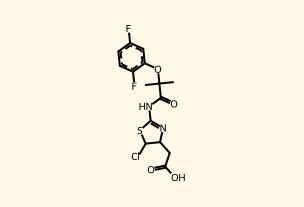 CC(C)(Oc1cc(F)ccc1F)C(=O)NC1=NC(CC(=O)O)C(Cl)S1